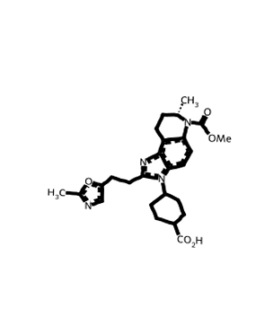 COC(=O)N1c2ccc3c(nc(CCc4cnc(C)o4)n3C3CCC(C(=O)O)CC3)c2CC[C@@H]1C